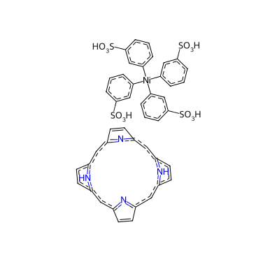 C1=Cc2cc3ccc(cc4nc(cc5ccc(cc1n2)[nH]5)C=C4)[nH]3.O=S(=O)(O)c1ccc[c]([Ni]([c]2cccc(S(=O)(=O)O)c2)([c]2cccc(S(=O)(=O)O)c2)[c]2cccc(S(=O)(=O)O)c2)c1